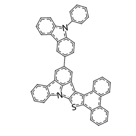 c1ccc(-n2c3ccccc3c3cc(-c4cc5c6ccccc6n6c7sc8c9ccccc9c9ccccc9c8c7c(c4)c56)ccc32)cc1